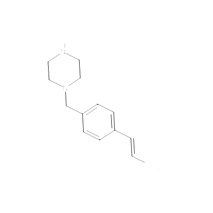 O=C(O)/C=C/c1ccc(CN2CCNCC2)cc1